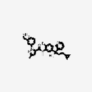 Cc1cc(C(=O)Nc2cc(C(O)(CCC3CC3)c3cccnc3)ccc2F)n(-c2cccc(CN)c2)n1